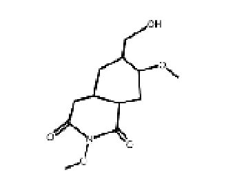 COC1CC2C(=O)N(OC)C(=O)CC2CC1CO